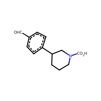 O=Cc1ccc(C2CCCN(C(=O)O)C2)cc1